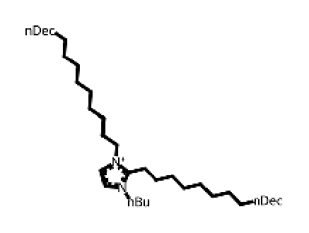 CCCCCCCCCCCCCCCCCCC[n+]1ccn(CCCC)c1CCCCCCCCCCCCCCCCCC